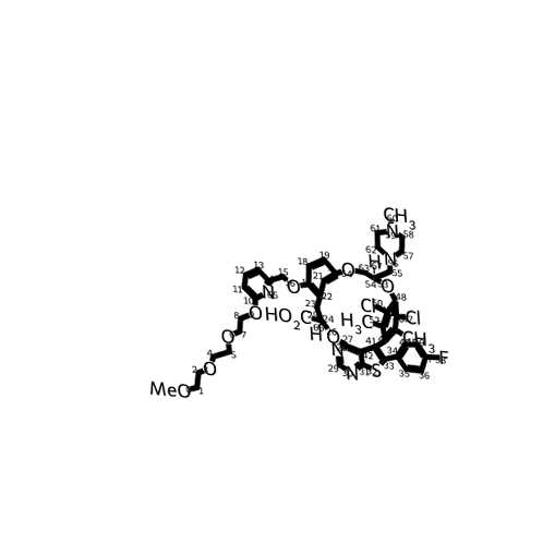 COCCOCCOCCOc1cccc(COc2ccc3cc2C[C@H](C(=O)O)Oc2ncnc4sc(-c5ccc(F)cc5)c(c24)-c2c(C)c(Cl)c(c(Cl)c2C)O[C@H](CN2CCN(C)CC2)CO3)n1